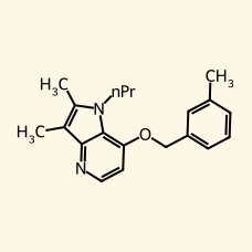 CCCn1c(C)c(C)c2nccc(OCc3cccc(C)c3)c21